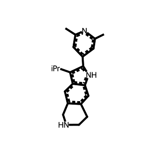 Cc1cc(-c2[nH]c3cc4c(cc3c2C(C)C)CNCC4)cc(C)n1